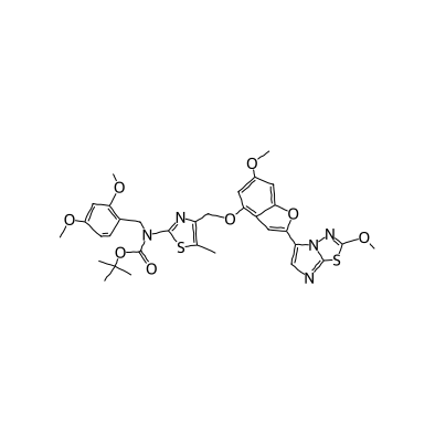 COc1ccc(CN(C(=O)OC(C)(C)C)c2nc(COc3cc(OC)cc4oc(-c5cnc6sc(OC)nn56)cc34)c(C)s2)c(OC)c1